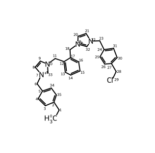 CCc1ccc(C[n+]2ccn(Cc3ccccc3C[n+]3ccn(Cc4ccc(CCl)cc4)c3)c2)cc1